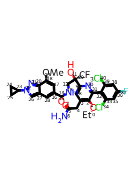 CCOc1c(CC(N)=O)cc([C@@](O)(CNC(=O)c2cc(OC)c3nn(C4CC4)cc3c2)C(F)(F)F)nc1-c1c(Cl)cc(F)cc1Cl